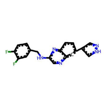 Fc1ccc(CNc2cnc3cc(-c4cn[nH]c4)ccc3n2)cc1F